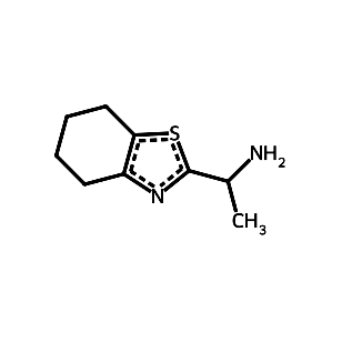 CC(N)c1nc2c(s1)CCCC2